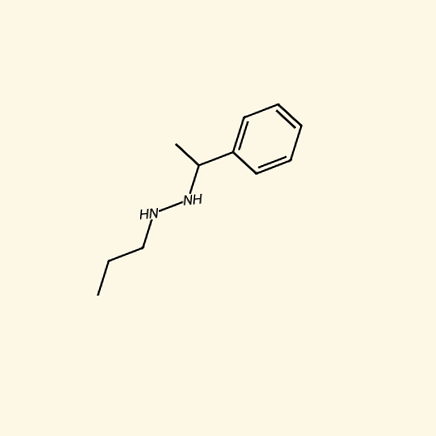 CCCNNC(C)c1ccccc1